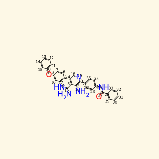 N=C(N)c1c(-c2ccc(Oc3ccccc3)cc2)cnc(-c2ccc(NC(=O)c3ccccc3)cc2)c1N